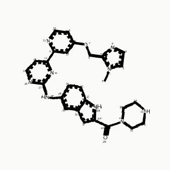 Cn1ccnc1COc1ccnc(-c2ccnc(Nc3ccc4[nH]c(C(=O)N5CCNCC5)cc4c3)n2)c1